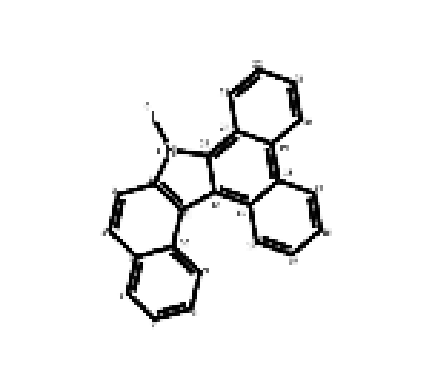 In1c2ccc3ccccc3c2c2c3ccccc3c3ccccc3c21